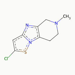 CN1CCc2c(nc3cc(Cl)sn23)C1